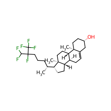 C[C@H](CCCC(F)(C(F)F)C(F)(F)F)[C@H]1CC[C@H]2[C@@H]3CC=C4C[C@@H](O)CC[C@]4(C)[C@H]3CC[C@]12C